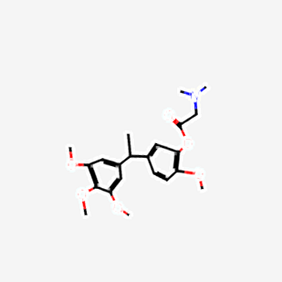 COc1ccc(C(C)c2cc(OC)c(OC)c(OC)c2)cc1OC(=O)CN(C)C